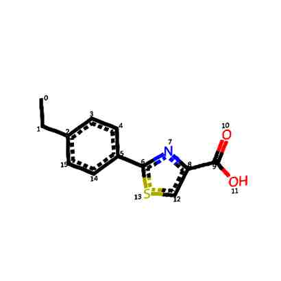 CCc1ccc(-c2nc(C(=O)O)cs2)cc1